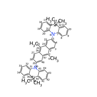 Cc1c2ccc(N3c4ccccc4[Si](C)(C)c4ccccc43)cc2c(C)c2ccc(N3c4ccccc4[Si](C)(C)c4ccccc43)cc12